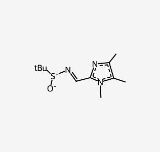 Cc1nc(C=N[S+]([O-])C(C)(C)C)n(C)c1C